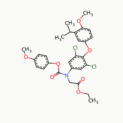 CCOC(=O)CN(C(=O)Oc1ccc(OC)cc1)c1cc(Cl)c(Oc2ccc(OC)c(C(C)C)c2)c(Cl)c1